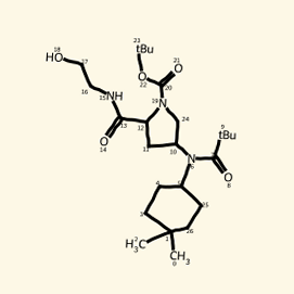 CC1(C)CCC(N(C(=O)C(C)(C)C)C2CC(C(=O)NCCO)N(C(=O)OC(C)(C)C)C2)CC1